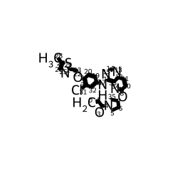 C=CC(=O)N1CCC(Oc2ccc3ncnc(Nc4ccc(OCc5ncc(C)s5)c(Cl)c4)c3n2)C1